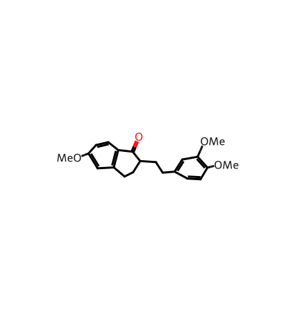 COc1ccc2c(c1)CCC(CCc1ccc(OC)c(OC)c1)C2=O